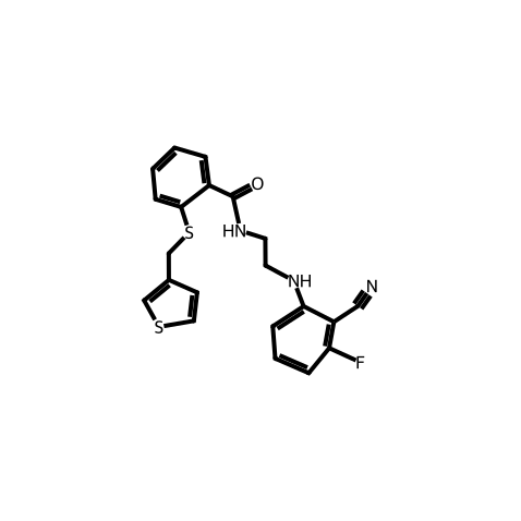 N#Cc1c(F)cccc1NCCNC(=O)c1ccccc1SCc1ccsc1